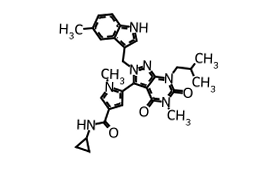 Cc1ccc2[nH]cc(Cn3nc4c(c3-c3cc(C(=O)NC5CC5)cn3C)c(=O)n(C)c(=O)n4CC(C)C)c2c1